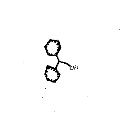 O[CH]C(c1ccccc1)c1ccccc1